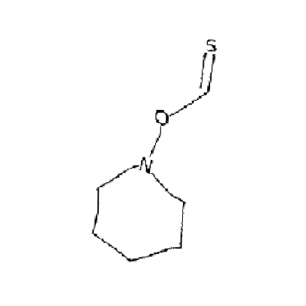 S=CON1CCCCC1